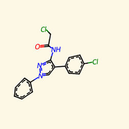 O=C(CCl)Nc1nn(-c2ccccc2)cc1-c1ccc(Cl)cc1